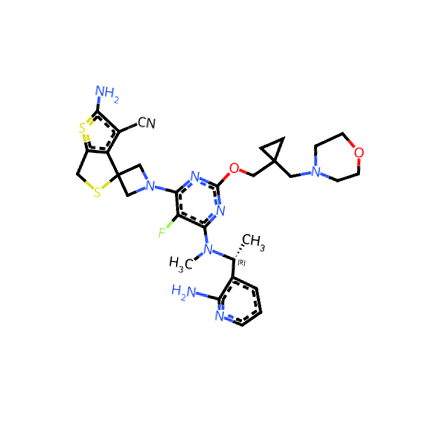 C[C@H](c1cccnc1N)N(C)c1nc(OCC2(CN3CCOCC3)CC2)nc(N2CC3(C2)SCc2sc(N)c(C#N)c23)c1F